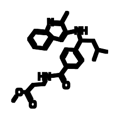 COC(=O)CCNC(=O)c1ccc(C(CC(C)C)Nc2cc3ccccc3nc2C)cc1